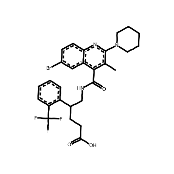 Cc1c(N2CCCCC2)nc2ccc(Br)cc2c1C(=O)NCC(CCC(=O)O)c1ccccc1C(F)(F)F